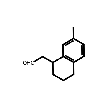 Cc1ccc2c(c1)C(CC=O)CCC2